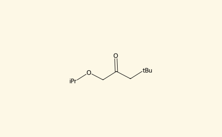 CC(C)OCC(=O)CC(C)(C)C